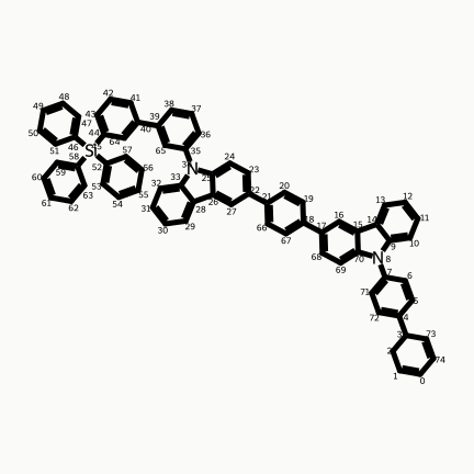 C1=CCC(c2ccc(-n3c4ccccc4c4cc(-c5ccc(-c6ccc7c(c6)c6ccccc6n7-c6cccc(-c7cccc([Si](c8ccccc8)(c8ccccc8)c8ccccc8)c7)c6)cc5)ccc43)cc2)C=C1